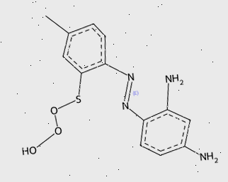 Cc1ccc(/N=N/c2ccc(N)cc2N)c(SOOO)c1